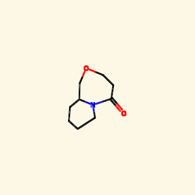 O=C1CCOCC2CCCCN12